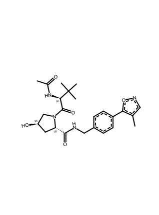 CC(=O)N[C@H](C(=O)N1C[C@H](O)C[C@H]1C(=O)NCc1ccc(-c2oncc2C)cc1)C(C)(C)C